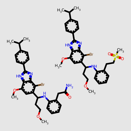 COCCC(Nc1ccccc1CC(N)=O)c1cc(OC)c2[nH]c(-c3ccc(C(C)C)cc3)nc2c1Br.COCCC(Nc1ccccc1CCS(C)(=O)=O)c1cc(OC)c2[nH]c(-c3ccc(C(C)C)cc3)nc2c1Br